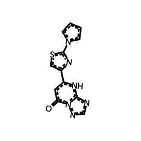 O=c1cc(-c2csc(-n3cccc3)n2)[nH]c2ncnn12